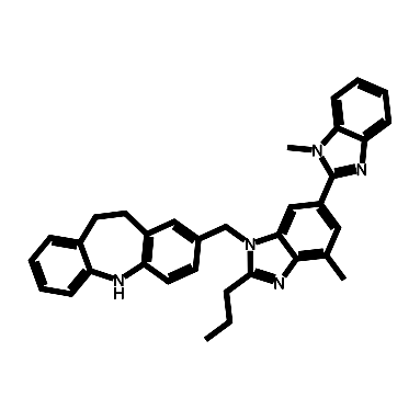 CCCc1nc2c(C)cc(-c3nc4ccccc4n3C)cc2n1Cc1ccc2c(c1)CCc1ccccc1N2